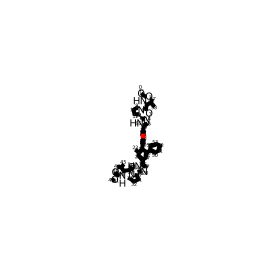 COC(=O)N[C@H](C(=O)N1CCC[C@H]1c1ncc(C#CC#Cc2c(C)cc(-c3cnc([C@@H]4CCCN4C(=O)[C@@H](NC(=O)OC)C(C)C)[nH]3)cc2-c2ccccc2)[nH]1)C(C)C